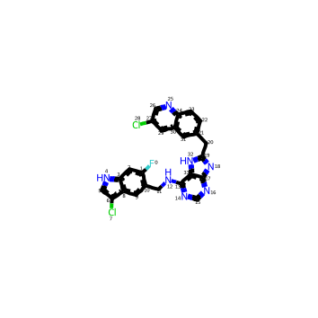 Fc1cc2[nH]cc(Cl)c2cc1CNc1ncnc2nc(Cc3ccc4ncc(Cl)cc4c3)[nH]c12